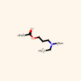 CCCCCCCCCN(CCCOC(=O)CCCCC)CC(=O)O